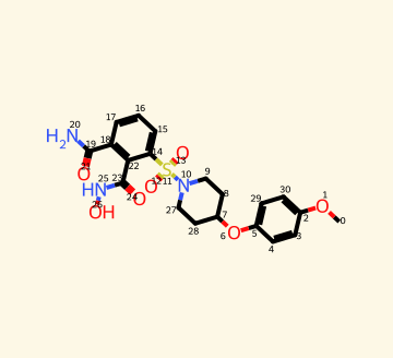 COc1ccc(OC2CCN(S(=O)(=O)c3cccc(C(N)=O)c3C(=O)NO)CC2)cc1